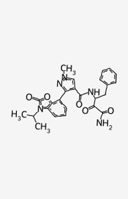 CC(C)n1c(=O)oc2c(-c3nn(C)cc3C(=O)NC(Cc3ccccc3)C(=O)C(N)=O)cccc21